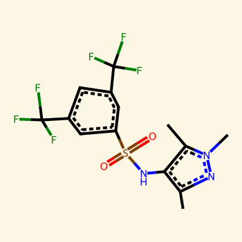 Cc1nn(C)c(C)c1NS(=O)(=O)c1cc(C(F)(F)F)cc(C(F)(F)F)c1